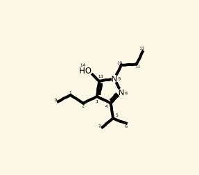 CCCc1c(C(C)C)nn(CCC)c1O